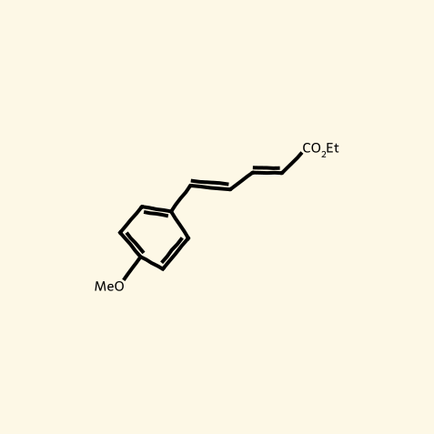 CCOC(=O)/C=C/C=C/c1ccc(OC)cc1